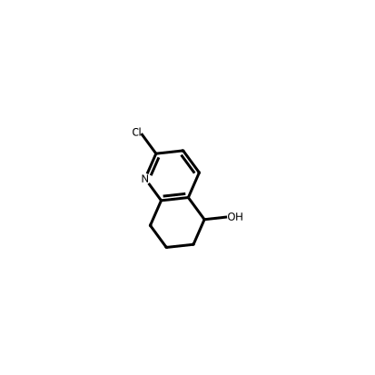 OC1CCCc2nc(Cl)ccc21